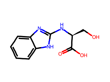 O=C(O)[C@H](CO)Nc1nc2ccccc2[nH]1